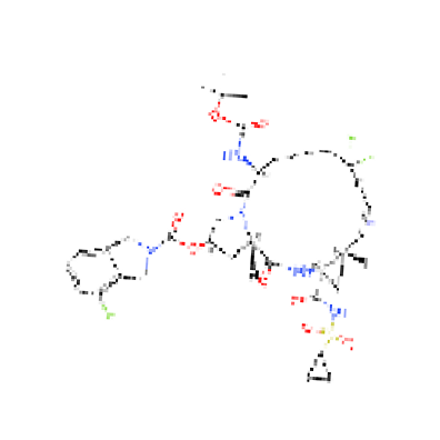 CC(C)(C)OC(=O)N[C@H]1CCCC(F)(F)C/C=C\[C@@H]2C[C@@]2(C(=O)NS(=O)(=O)C2CC2)NC(=O)[C@@H]2C[C@@H](OC(=O)N3Cc4cccc(F)c4C3)CN2C1=O